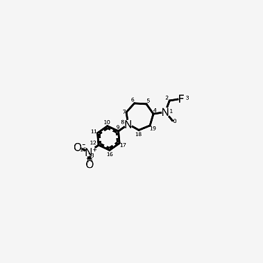 CN(CF)C1CCCN(c2ccc([N+](=O)[O-])cc2)CC1